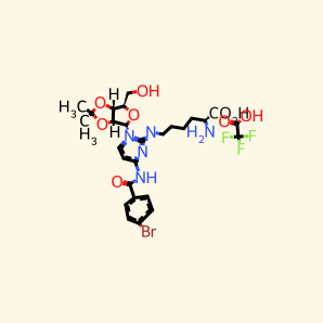 CC1(C)O[C@@H]2[C@H](O1)[C@@H](CO)O[C@H]2n1ccc(NC(=O)c2ccc(Br)cc2)nc1=NCCCC[C@H](N)C(=O)O.O=C(O)C(F)(F)F